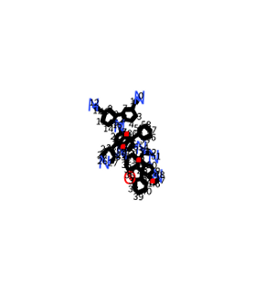 N#Cc1ccc2c(c1)c1cc(C#N)ccc1n2-c1ccc2c(c1)c1ccncc1n2-c1ccc2c(c1)Oc1ccccc1C21c2cccnc2-c2ncc(-n3c4ccccc4c4ccccc43)cc21